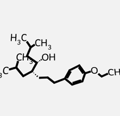 CCOc1ccc(CCC[C@H](CC(C)C)[C@@H](O)CC(C)C)cc1